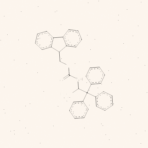 O=C(NC(C(=O)O)C(c1ccccc1)(c1ccccc1)c1ccccc1)OCC1c2ccccc2-c2ccccc21